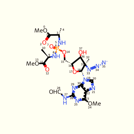 COC(=O)[C@H](C)NP(=O)(N[C@H](C)C(=O)OC)OC[C@H]1O[C@@H](n2cnc3c(OC)nc(NC=O)nc32)[C@](C)(N=[N+]=[N-])[C@@H]1O